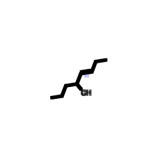 CC/C=C/C(O)CCC